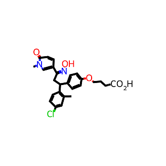 Cc1cc(Cl)ccc1C(CC(=NO)c1ccc(=O)n(C)c1)c1ccc(OCCCC(=O)O)cc1